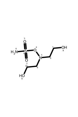 NS(=O)(=O)ON(CCO)CCO